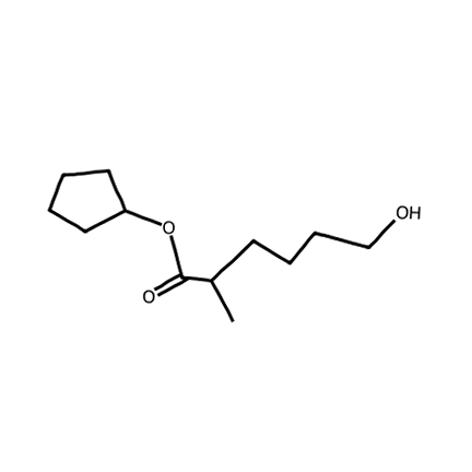 CC(CCCCO)C(=O)OC1CCCC1